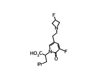 CC(C)CC(C(=O)O)n1cc(CCN2CC(F)C2)cc(F)c1=O